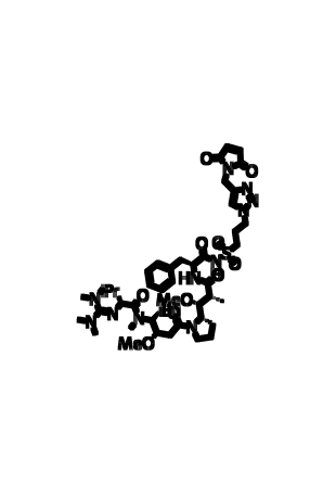 CC[C@H](C)C([C@@H](CC(=O)N1CCC[C@H]1[C@H](OC)[C@@H](C)C(=O)N[C@@H](Cc1ccccc1)C(=O)NS(=O)(=O)CCCn1cc(CN2C(=O)C=CC2=O)nn1)OC)N(C)C(=O)[C@@H](N=C(N(C)C)N(C)C)C(C)C